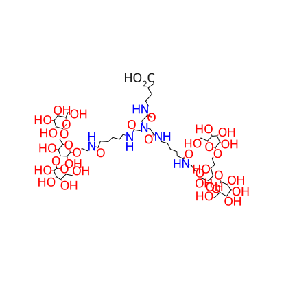 O=C(O)CCCCCNC(=O)CN(CC(=O)NCCCCCC(=O)NCCOC(O)C(O)C(OC1OC(CO)C(O)C(O)C1O)C(O)CCOC1OC(CO)C(O)C(O)C1O)CC(=O)NCCCCCC(=O)NCCOC1OC(COC2OC(CO)C(O)C(O)C2O)C(O)C(OC2OC(CO)C(O)C(O)C2O)C1O